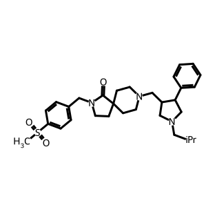 CC(C)CN1CC(CN2CCC3(CC2)CCN(Cc2ccc(S(C)(=O)=O)cc2)C3=O)C(c2ccccc2)C1